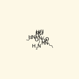 CCCCNC(=O)OC(C)N(CCCN)C(C)OC(=O)NCCCC.Cl.Cl